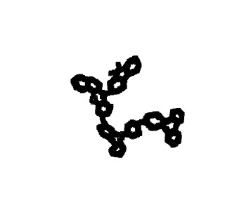 CC1(C)c2ccccc2-c2ccc(N3c4ccc(-c5ccc6c7ccccc7n(-c7ccc(-c8ccc9c%10ccccc%10c%10ccccc%10c9c8)cc7)c6c5)cc4Oc4c3ccc3ccccc43)cc21